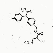 CCCCN(CC(=O)O)C(=O)OCc1ccc(C(C(N)=O)c2ccc(F)cc2)cc1